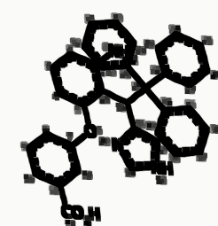 Nc1cccc(Oc2cccc(C(=O)O)c2)c1C(c1c[nH]cn1)C(c1ccccc1)(c1ccccc1)c1ccccc1